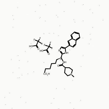 CN1CCC(C(=O)N[C@@H](CCCCCC(=O)O)c2ncc(-c3ccc4ccccc4c3)[nH]2)CC1.O=C(O)C(F)(F)F.O=C(O)C(F)(F)F